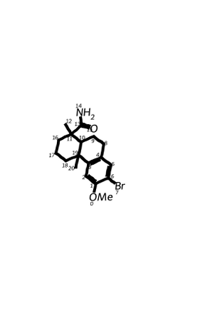 COc1cc2c(cc1Br)CCC1C(C)(C(N)=O)CCCC21C